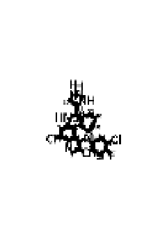 N#Cc1cnc2c(Cl)cc(NC(C3=CNNN3)c3ccccc3)cc2c1Nc1ccc(F)c(Cl)c1